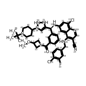 COC1CN(C(=O)c2cccc([C@H](Nc3cc(Cl)c4ncc(C#N)c(NCc5ccc(Cl)c(F)c5)c4c3)C3=CN(C4CCN(C(C)(C)C)CC4)NN3)c2)C1